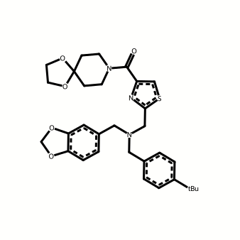 CC(C)(C)c1ccc(CN(Cc2ccc3c(c2)OCO3)Cc2nc(C(=O)N3CCC4(CC3)OCCO4)cs2)cc1